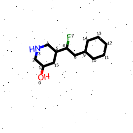 OC1CNCC(C(F)CC2CCCCC2)C1